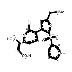 CNCc1cc(-c2cccnc2Cl)c(S(=O)(=O)c2cccnc2)s1.O=C(O)C=CC(=O)O